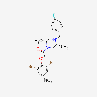 CC1CN(C(=O)COc2c(Br)cc([N+](=O)[O-])cc2Br)C(C)CN1Cc1ccc(F)cc1